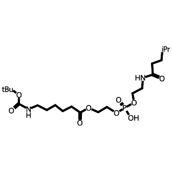 CC(C)CCC(=O)NCCOP(=O)(O)OCCOC(=O)CCCCCNC(=O)OC(C)(C)C